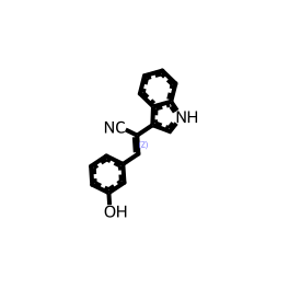 N#C/C(=C\c1cccc(O)c1)c1c[nH]c2ccccc12